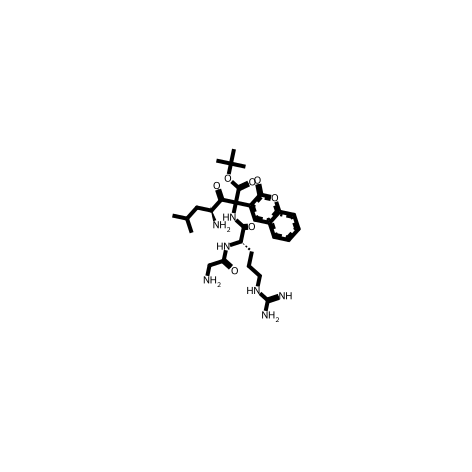 CC(C)C[C@H](N)C(=O)C(NC(=O)[C@H](CCCNC(=N)N)NC(=O)CN)(C(=O)OC(C)(C)C)c1cc2ccccc2oc1=O